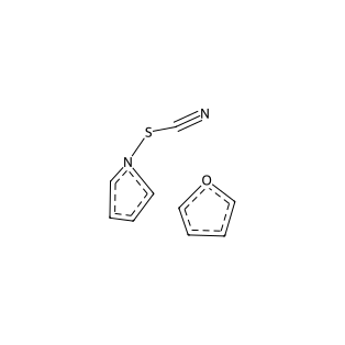 N#CSn1cccc1.c1ccoc1